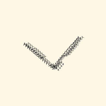 [As-3].[As-3].[As-3].[As-3].[As-3].[As-3].[As-3].[Ga+3].[Ga+3].[Ga+3].[Ga+3].[Ga+3].[Ga+3].[Ge+4].[Ge+4].[Ge+4].[Ge+4].[Ge+4].[Ge+4].[P-3].[P-3].[P-3].[P-3].[P-3].[P-3].[P-3].[SiH4].[SiH4].[SiH4].[SiH4].[SiH4].[SiH4]